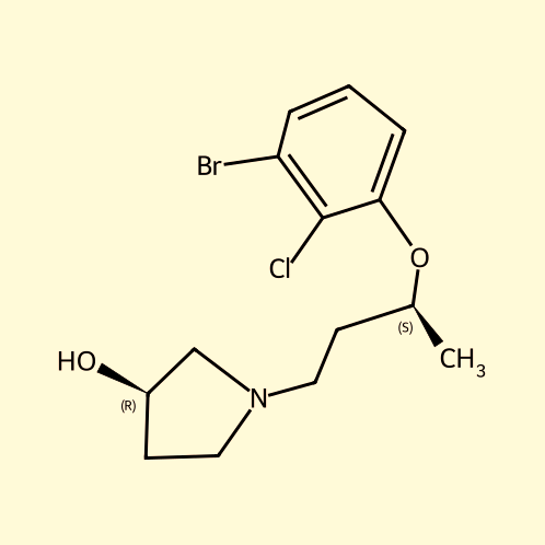 C[C@@H](CCN1CC[C@@H](O)C1)Oc1cccc(Br)c1Cl